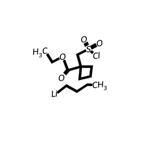 CCOC(=O)C1(CS(=O)(=O)Cl)CCC1.[Li][CH2]CCC